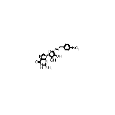 Nc1nc2c(ncn2[C@@H]2O[C@H](CSCc3ccc([N+](=O)[O-])cc3)[C@@H](O)[C@H]2O)c(=O)[nH]1